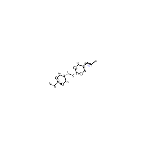 C/C=C/[C@H]1CO[C@H](CC[C@H]2CO[C@H](CC)OC2)OC1